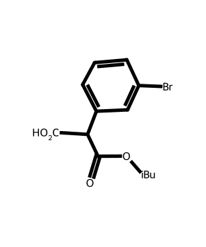 CCC(C)OC(=O)C(C(=O)O)c1cccc(Br)c1